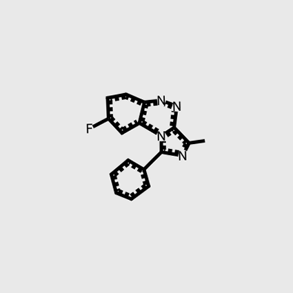 Cc1nc(-c2ccccc2)n2c1nnc1ccc(F)cc12